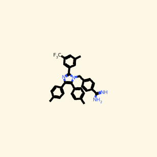 Cc1ccc(-c2nc(-c3cc(C)cc(C(F)(F)F)c3)n(Cc3ccc(C(=N)N)cc3)c2-c2ccc(C)cc2)cc1